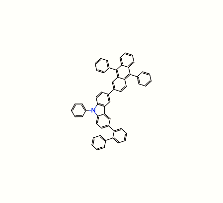 c1ccc(-c2ccccc2-c2ccc3c(c2)c2cc(-c4ccc5c(-c6ccccc6)c6ccccc6c(-c6ccccc6)c5c4)ccc2n3-c2ccccc2)cc1